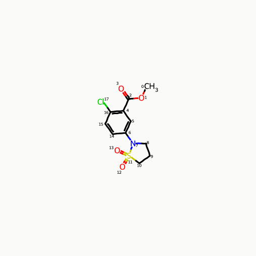 COC(=O)c1cc(N2CCCS2(=O)=O)ccc1Cl